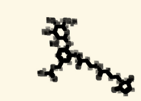 CC(C)(C)C(=O)OCc1ccc(OC2O[C@H](C(=O)O)[C@@H](O)[C@H](O)[C@H]2O)c(NC(=O)CCNC(=O)CCCN2C(=O)C=CC2=O)c1